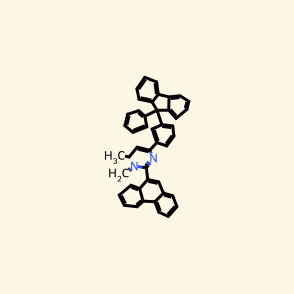 C=N/C(=N\C(=C/CC)c1cccc(C2(c3ccccc3)c3ccccc3-c3ccccc32)c1)c1cc2ccccc2c2ccccc12